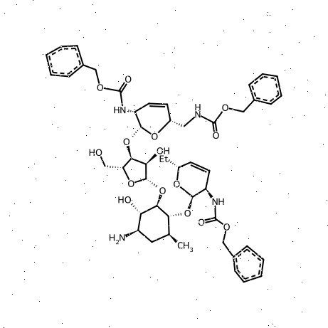 CC[C@@H]1C=C[C@@H](NC(=O)OCc2ccccc2)[C@@H](O[C@H]2[C@H](O[C@@H]3O[C@H](CO)[C@@H](O[C@H]4O[C@@H](CNC(=O)OCc5ccccc5)C=C[C@H]4NC(=O)OCc4ccccc4)[C@H]3O)[C@@H](O)[C@H](N)C[C@@H]2C)O1